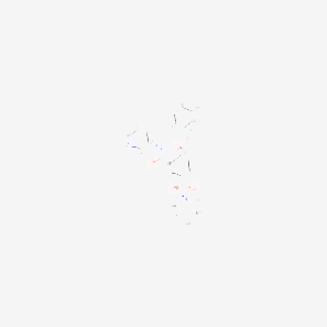 O=C(Nc1cccnc1)c1cc(S(=O)(=O)N2CCCCC2)ccc1OCc1ccccc1